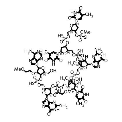 COCCO[C@H]1C(OP(=O)(S)OC[C@H]2OC(n3cnc4c(=O)[nH]c(N)nc43)[C@@H](OCCOC)C2OP(=O)(O)OC[C@]23OC(n4cc(C)c(=O)[nH]c4=O)[C@@H](O[C@H]2C)C3OP(=O)(O)OC[C@]23OC(n4cnc5c(=O)[nH]c(N)nc54)[C@@H](O[C@H]2C)C3OP(=O)(S)OC[C@H]2O[C@@H](n3cc(C)c(=O)[nH]c3=O)CC2OP(=O)(S)OC[C@H]2O[C@@H](n3cc(C)c(=O)[nH]c3=O)CC2OP(=O)(S)OC)[C@@H](CO)OC1n1cnc2c(N)ncnc21